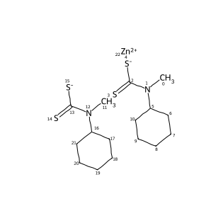 CN(C(=S)[S-])C1CCCCC1.CN(C(=S)[S-])C1CCCCC1.[Zn+2]